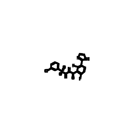 O=C(NNS(=O)(=O)c1cccc(Cl)c1)c1c(F)ccc(-c2ncc[nH]2)c1F